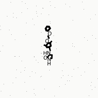 Cc1cc(CNC2CCNC2=O)cc(C)c1OCCOc1ccccc1